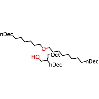 CCCCCCCCCCC(CO)CCCCCCCC.CCCCCCCCCCCCCCCCCCOCCCCCCCCCCCCCCCC